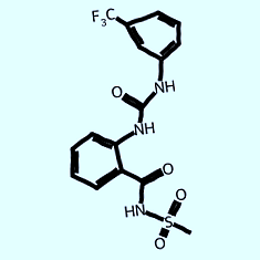 CS(=O)(=O)NC(=O)c1ccccc1NC(=O)Nc1cccc(C(F)(F)F)c1